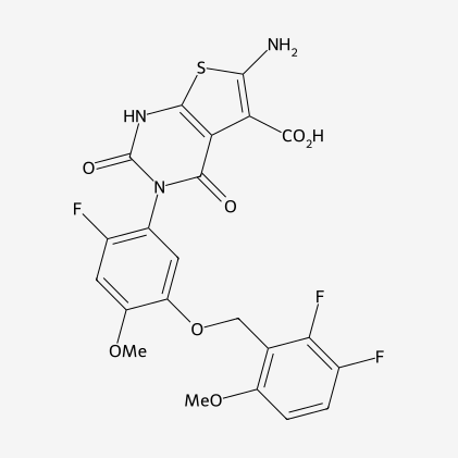 COc1cc(F)c(-n2c(=O)[nH]c3sc(N)c(C(=O)O)c3c2=O)cc1OCc1c(OC)ccc(F)c1F